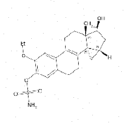 CCOc1cc2c(cc1OS(N)(=O)=O)CCC1=C2CC[C@]2(C)[C@@H](O)C[C@@H]3C[C@@]132